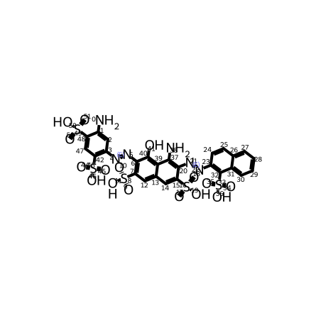 Nc1cc(/N=N/c2c(S(=O)(=O)O)cc3cc(S(=O)(=O)O)c(/N=N/c4ccc5ccccc5c4S(=O)(=O)O)c(N)c3c2O)c(S(=O)(=O)O)cc1S(=O)(=O)O